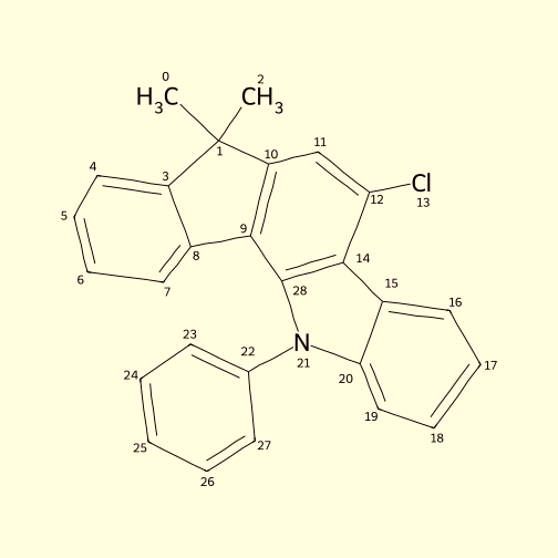 CC1(C)c2ccccc2-c2c1cc(Cl)c1c3ccccc3n(-c3ccccc3)c21